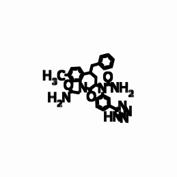 Cc1ccc2c(c1)N(CC(N)=O)C(=O)C(N(C(N)=O)c1cccc(-c3nnn[nH]3)c1)CC2Cc1ccccc1